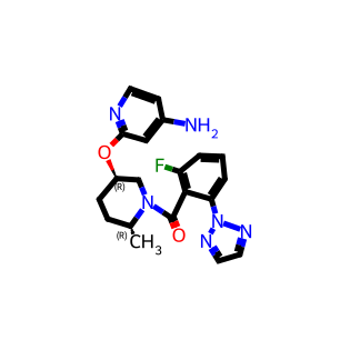 C[C@@H]1CC[C@@H](Oc2cc(N)ccn2)CN1C(=O)c1c(F)cccc1-n1nccn1